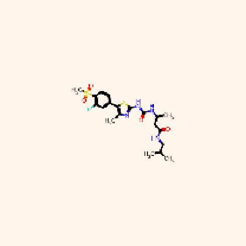 Cc1nc(NC(=O)NC(C)CC(=O)NCC(C)C)sc1-c1ccc(S(C)(=O)=O)c(F)c1